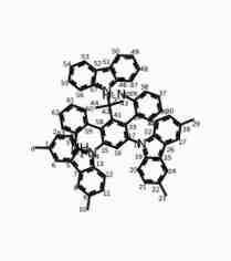 Cc1ccc2c(c1)c1cc(C)ccc1n2-c1cc(-n2c3ccc(C)cc3c3cc(C)ccc32)c(-c2ccccc2N)c(C(C)(C)n2c3ccccc3c3ccccc32)c1-c1ccccc1N